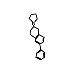 c1ccc(-c2ccc3c(c2)CCC(N2CCCC2)C3)cc1